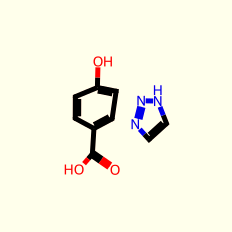 O=C(O)c1ccc(O)cc1.c1c[nH]nn1